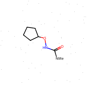 CNC(=O)NOC1CCCC1